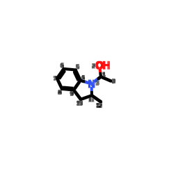 CC(O)N1c2ccccc2CC1C